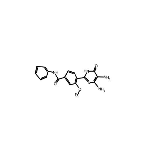 CCOc1cc(C(=O)Nc2ccccc2)ccc1-c1nc(N)c(N)c(=O)[nH]1